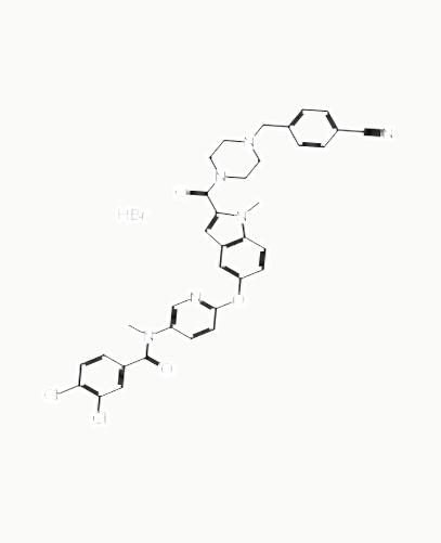 Br.CN(C(=O)c1ccc(Cl)c(Cl)c1)c1ccc(Oc2ccc3c(c2)cc(C(=O)N2CCN(Cc4ccc(C#N)cc4)CC2)n3C)nc1